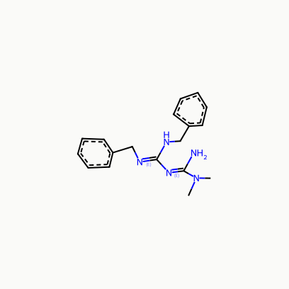 CN(C)/C(N)=N/C(=N/Cc1ccccc1)NCc1ccccc1